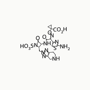 Nc1nc(/C(=N/OC2(C(=O)O)CC2)C(=O)N[C@@H]2C(=O)N(S(=O)(=O)O)[C@@H]2Cn2nc3c(n2)CNCC3)cs1